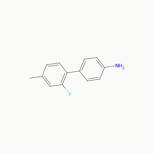 Cc1ccc(-c2ccc(N)cc2)c(F)c1